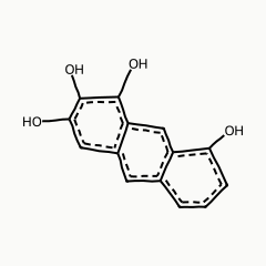 Oc1cc2cc3cccc(O)c3cc2c(O)c1O